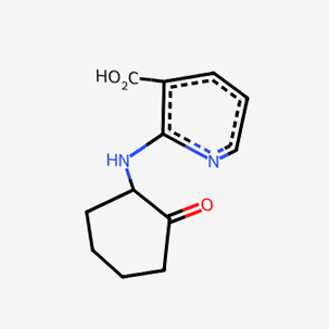 O=C(O)c1cccnc1NC1CCCCC1=O